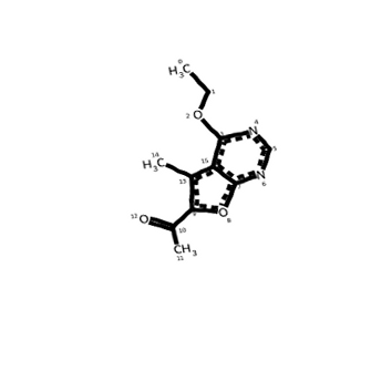 CCOc1ncnc2oc(C(C)=O)c(C)c12